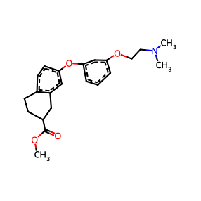 COC(=O)C1CCc2ccc(Oc3cccc(OCCN(C)C)c3)cc2C1